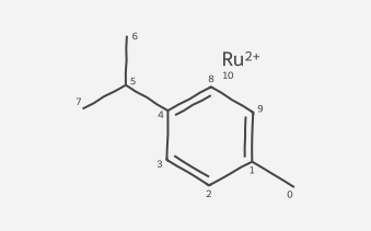 Cc1ccc(C(C)C)cc1.[Ru+2]